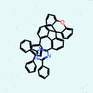 c1ccc(-c2ccc(-c3cccc4c3-c3c(-c5nc(-c6ccccc6)nc(-c6ccccc6)n5)cccc3C43c4ccccc4Oc4ccccc43)cc2)cc1